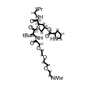 CNCCOCCOCCOCC(=O)NC(C(=O)N1CC(OC(=O)C2CCCN2)CC1C(=O)NCC(C)C)C(C)(C)C